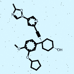 COc1ccc([C@]2(C#Cc3cc(N4C=NC(C)O4)cs3)CC[C@@H](O)CC2)cc1OC1CCCC1